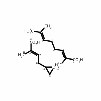 C/C(=C\CC/C=C(\C)C(=O)O)C(=O)O.C/C(=C\CC1CO1)C(=O)O